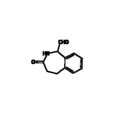 O=CC1NC(=O)CCc2ccccc21